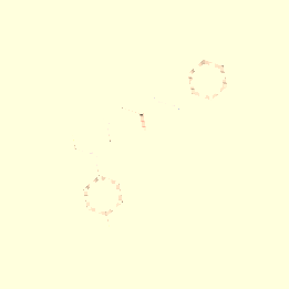 O=C(CN1CSC(S)N(c2ccc(F)cc2)C1)NNc1ccc(F)cc1